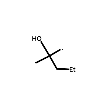 [CH2]CCC([CH2])(C)O